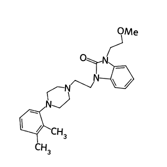 COCCn1c(=O)n(CCN2CCN(c3cccc(C)c3C)CC2)c2ccccc21